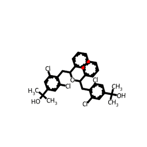 CC(C)(O)c1cc(Cl)c(CC(OC(Cc2c(Cl)cc(C(C)(C)O)cc2Cl)c2ccccc2)c2ccccc2)c(Cl)c1